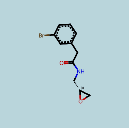 O=C(Cc1cccc(Br)c1)NC[C@@H]1CO1